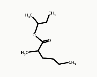 CCCCC(C)C(=O)OC(C)CC